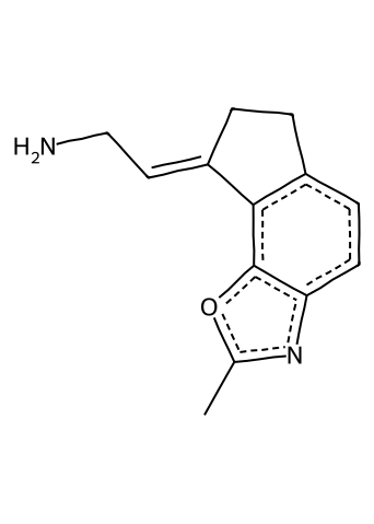 Cc1nc2ccc3c(c2o1)C(=CCN)CC3